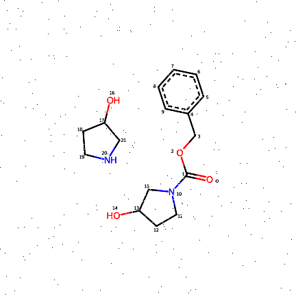 O=C(OCc1ccccc1)N1CCC(O)C1.OC1CCNC1